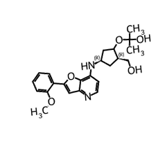 COc1ccccc1-c1cc2nccc(N[C@H]3CC(OC(C)(C)O)[C@@H](CO)C3)c2o1